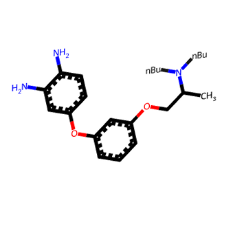 CCCCN(CCCC)C(C)COc1cccc(Oc2ccc(N)c(N)c2)c1